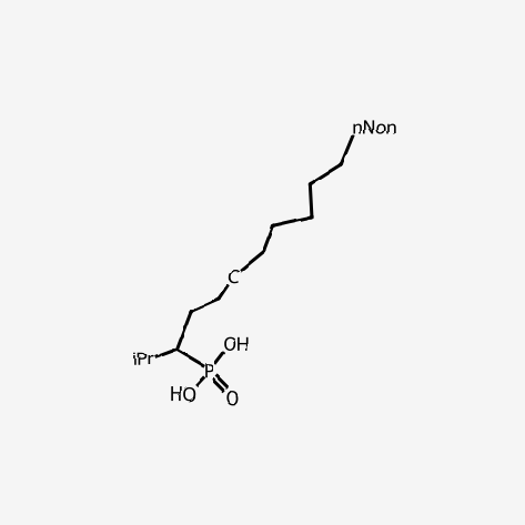 CCCCCCCCCCCCCCCCCC(C(C)C)P(=O)(O)O